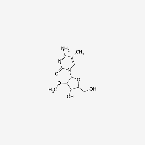 COC1C(O)C(CO)OC1n1cc(C)c(N)nc1=O